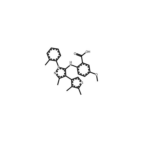 COc1ccc(Nc2c(-c3csc(C)c3C)c(C)nn2-c2ccccc2C)c(C(=O)O)c1